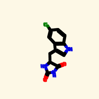 O=C1NC(=O)C(Cc2c[nH]c3ccc(Cl)cc23)N1